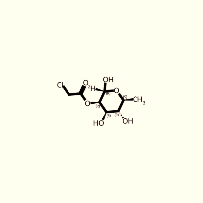 [2H][C@@]1(O)O[C@@H](C)[C@H](O)[C@@H](O)[C@H]1OC(=O)CCl